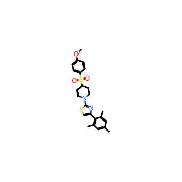 COc1ccc(S(=O)(=O)C2CCN(c3nc(-c4c(C)cc(C)cc4C)cs3)CC2)cc1